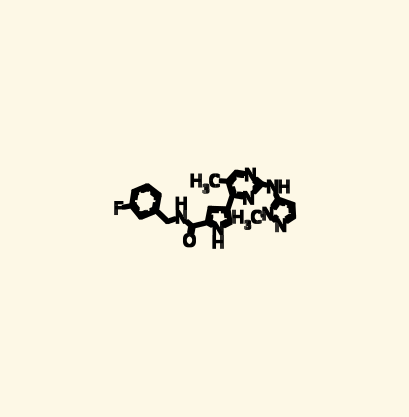 Cc1cnc(Nc2ccnn2C)nc1-c1c[nH]c(C(=O)NCc2cccc(F)c2)c1